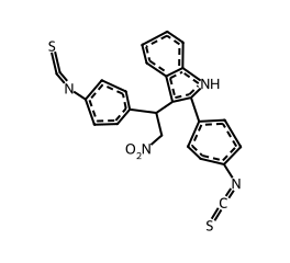 O=[N+]([O-])CC(c1ccc(N=C=S)cc1)c1c(-c2ccc(N=C=S)cc2)[nH]c2ccccc12